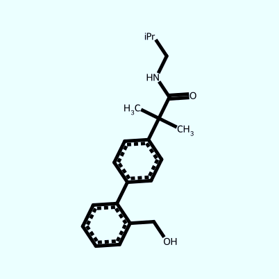 CC(C)CNC(=O)C(C)(C)c1ccc(-c2ccccc2CO)cc1